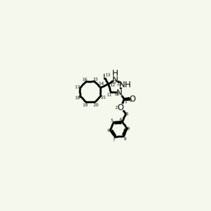 O=C(OCc1ccccc1)N1CC(I)(C2CCCCCCC2)NN1